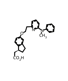 CN(c1ccccc1)c1cccc(CCOc2ccc3c(c2)CC[C@H]3CC(=O)O)n1